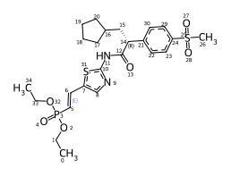 CCOP(=O)(/C=C/c1cnc(NC(=O)[C@H](CC2CCCC2)c2ccc(S(C)(=O)=O)cc2)s1)OCC